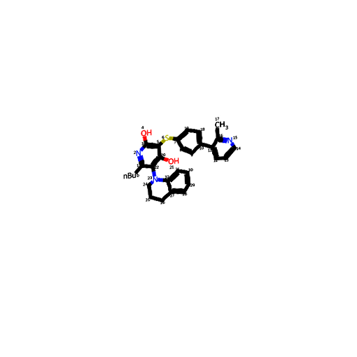 CCCCc1nc(O)c(Sc2ccc(-c3cccnc3C)cc2)c(O)c1N1CCCc2ccccc21